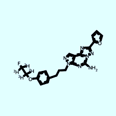 [2H]C([2H])(F)C([2H])([2H])Oc1ccc(CCCn2ncc3c2nc(N)n2nc(-c4ccco4)nc32)cc1